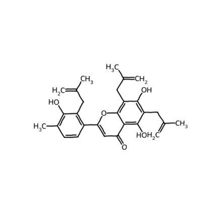 C=C(C)Cc1c(-c2cc(=O)c3c(O)c(CC(=C)C)c(O)c(CC(=C)C)c3o2)ccc(C)c1O